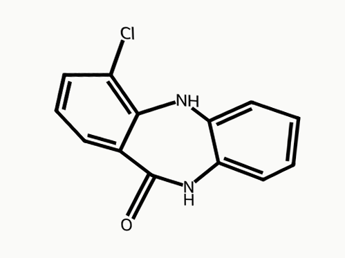 O=C1Nc2ccccc2Nc2c(Cl)cccc21